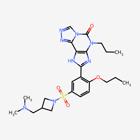 CCCOc1ccc(S(=O)(=O)N2CC(CN(C)C)C2)cc1-c1nc2c([nH]1)c1nncn1c(=O)n2CCC